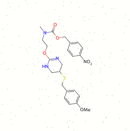 COc1ccc(CSC2CN=C(OCCN(C)C(=O)OCc3ccc([N+](=O)[O-])cc3)NC2)cc1